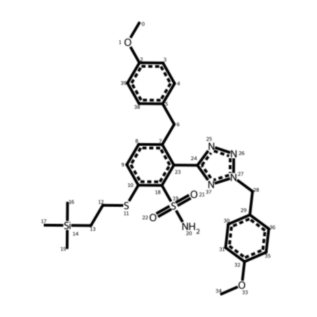 COc1ccc(Cc2ccc(SCC[Si](C)(C)C)c(S(N)(=O)=O)c2-c2nnn(Cc3ccc(OC)cc3)n2)cc1